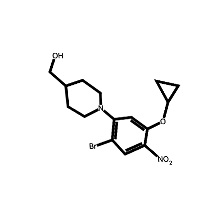 O=[N+]([O-])c1cc(Br)c(N2CCC(CO)CC2)cc1OC1CC1